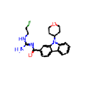 N/C(=N\C(=O)c1ccc2c3ccccc3n(C3CCOCC3)c2c1)NCCF